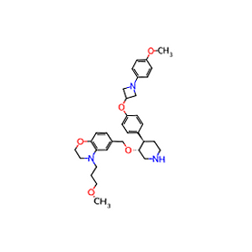 COCCCN1CCOc2ccc(CO[C@H]3CNCC[C@@H]3c3ccc(OC4CN(c5ccc(OC)cc5)C4)cc3)cc21